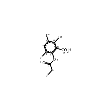 O=C(CI)Oc1c(I)cc(I)c(I)c1C(=O)O